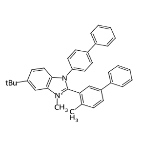 Cc1ccc(-c2ccccc2)cc1-c1n(-c2ccc(-c3ccccc3)cc2)c2ccc(C(C)(C)C)cc2[n+]1C